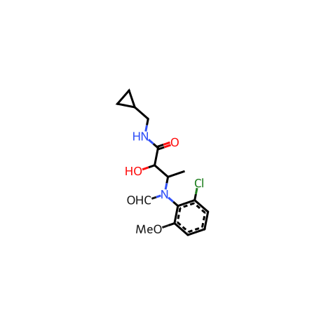 COc1cccc(Cl)c1N(C=O)C(C)C(O)C(=O)NCC1CC1